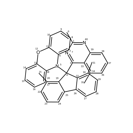 Cc1nc(C2(N3c4ccccc4Oc4ccccc43)c3c(C)cccc3-c3cccc(C)c32)c2c(C)cccc2n1